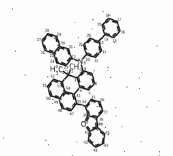 CC1(C)c2c(cccc2N(c2ccc(-c3ccccc3)cc2)c2ccc3ccccc3c2)-c2c(-c3cccc4c3oc3ccccc34)ccc3cccc1c23